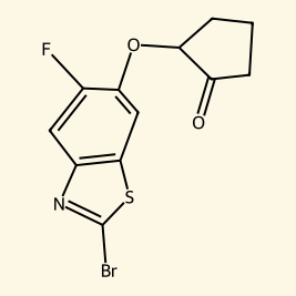 O=C1CCCC1Oc1cc2sc(Br)nc2cc1F